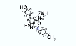 CCc1ccc(/C=C/c2n[nH]c3nc(-c4ccc(O)cc4)cc(C(=O)N4CCNCC4)c23)cc1